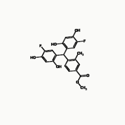 COC(=O)c1ccc(C(c2cc(F)c(O)cc2O)c2cc(F)c(O)cc2O)c(C)c1